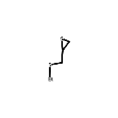 [CH2]CSCC1CS1